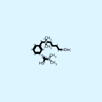 CCCCCCCCCCCCCC[N+](C)(C)Cc1ccccc1.CN(C)C(=S)S